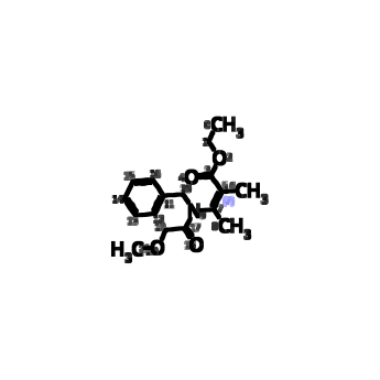 CCOC(=O)/C(C)=C(/C)N(Cc1ccccc1)C(=O)COC